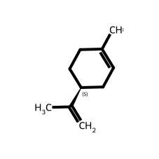 [CH]C1=CC[C@@H](C(=C)C)CC1